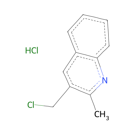 Cc1nc2ccccc2cc1CCl.Cl